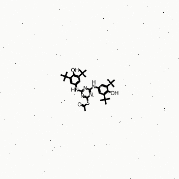 CC(=O)Sc1nc(Nc2cc(C(C)(C)C)c(O)c(C(C)(C)C)c2)nc(Nc2cc(C(C)(C)C)c(O)c(C(C)(C)C)c2)n1